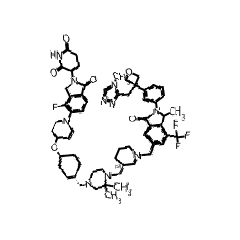 CC1c2c(cc(CN3CCC[C@H](CN4CCN(C[C@H]5CC[C@H](OC6CCN(c7ccc8c(c7F)CN(C7CCC(=O)NC7=O)C8=O)CC6)CC5)CC4(C)C)C3)cc2C(F)(F)F)C(=O)N1c1cccc(C2(Cc3nncn3C)COC2)c1